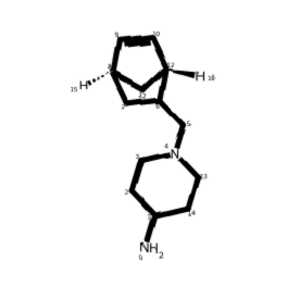 NC1CCN(CC2C[C@H]3C=C[C@H]2C3)CC1